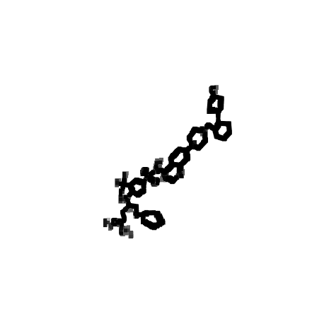 CN(C)CC[C@H](CSc1ccccc1)Nc1ccc(S(=O)(=O)Nc2ncnc3cc(N4CCN(CC5=C(c6ccc(Cl)cc6)CCCC5)CC4)ccc23)cc1C(F)(F)F